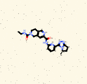 CCNC(=O)N1CCc2cnc(C(=O)Nc3cccc(-c4nnc5n4[C@H](C)CC5)n3)cc2C1